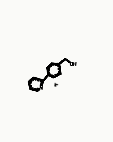 OCc1ccc(-c2ccccn2)cc1.[Ir]